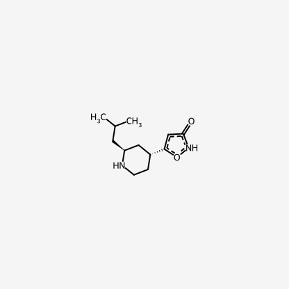 CC(C)C[C@H]1C[C@H](c2cc(=O)[nH]o2)CCN1